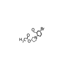 CC(=O)OC1CCN(c2ccc(Br)cc2C=O)C1